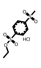 CCOS(=O)(=O)c1ccc(S(C)(=O)=O)cc1.Cl